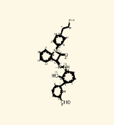 O=Cc1cccc(-c2cccc(N/N=C3\C(=O)N(c4ccc(CCF)cc4)c4ccccc43)c2O)c1